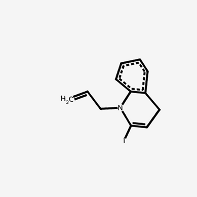 C=CCN1C(I)=CCc2ccccc21